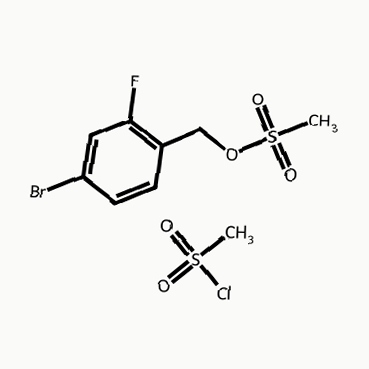 CS(=O)(=O)Cl.CS(=O)(=O)OCc1ccc(Br)cc1F